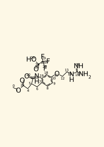 COC(=O)CC1Cc2ccc(OCCNC(=N)N)cc2NC1=O.O=C(O)C(F)(F)F